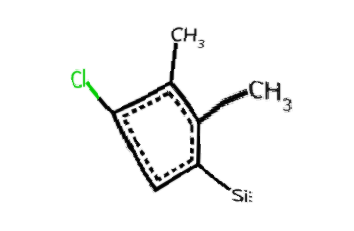 Cc1c([Si])ccc(Cl)c1C